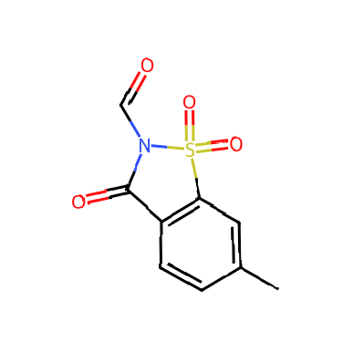 Cc1ccc2c(c1)S(=O)(=O)N(C=O)C2=O